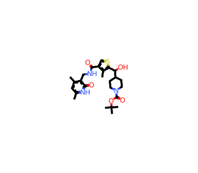 Cc1cc(C)c(CNC(=O)c2csc(C(O)C3CCN(C(=O)OC(C)(C)C)CC3)c2C)c(=O)[nH]1